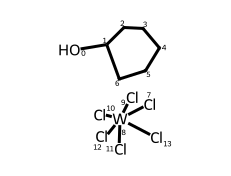 OC1CCCCC1.[Cl][W]([Cl])([Cl])([Cl])([Cl])[Cl]